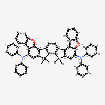 C[Si]1(C)c2cc(N(c3ccccc3)c3ccccc3)c3c(oc4ccccc43)c2-c2ccc3c(c21)[Si](C)(C)c1cc(N(c2ccccc2)c2ccccc2)c2oc4ccccc4c2c1-3